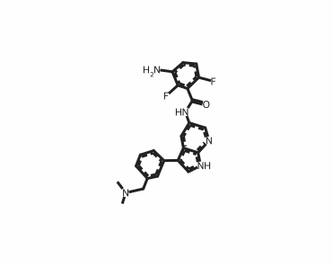 CN(C)Cc1cccc(-c2c[nH]c3ncc(NC(=O)c4c(F)ccc(N)c4F)cc23)c1